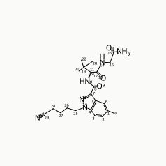 Cc1ccc2c(c1)c(C(=O)N[C@H](C(=O)NCC(N)=O)C(C)(C)C)nn2CCCCC#N